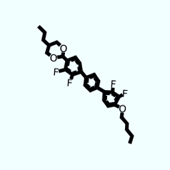 CCCCCOc1ccc(-c2ccc(-c3ccc(C4OCC(CCC)CO4)c(F)c3F)cc2)c(F)c1F